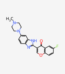 CN1CCN(c2ccc3nc(-c4coc5ccc(F)cc5c4=O)[nH]c3c2)CC1